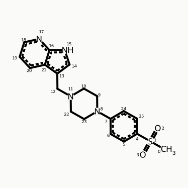 CS(=O)(=O)c1ccc(N2CCN(Cc3c[nH]c4ncccc34)CC2)cc1